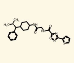 CN(C)C(c1ccccc1)C1CCC(NC(=O)CNC(=O)c2nc(-c3cccs3)no2)CC1